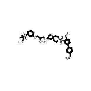 CCOc1ccc(-c2ccc(CN)cc2)cc1S(=O)(=O)N1CCC2(CC1)C[C@@H](NCC(O)COc1cccc(S(=O)(=O)C(F)(F)CO)c1)CO2